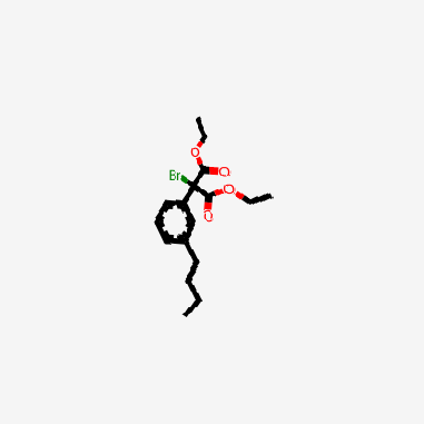 CCCCc1cccc(C(Br)(C(=O)OCC)C(=O)OCC)c1